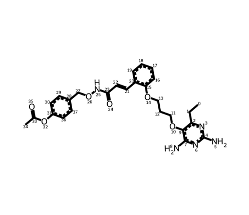 CCc1nc(N)nc(N)c1OCCCOc1ccccc1/C=C/C(=O)NOCc1ccc(OC(C)=O)cc1